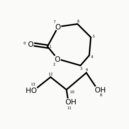 O=C1OCCCCO1.OCC(O)CO